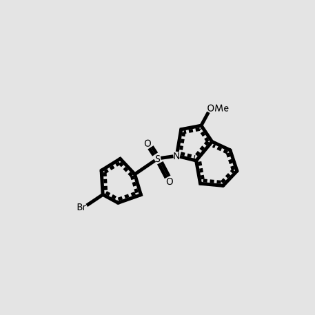 COc1cn(S(=O)(=O)c2ccc(Br)cc2)c2ccccc12